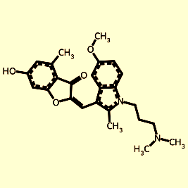 COc1ccc2c(c1)c(C=C1Oc3cc(O)cc(C)c3C1=O)c(C)n2CCCN(C)C